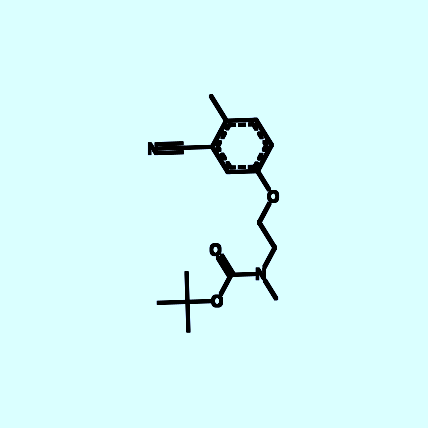 Cc1ccc(OCCN(C)C(=O)OC(C)(C)C)cc1C#N